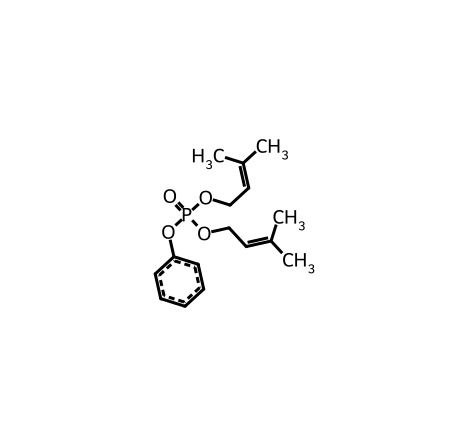 CC(C)=CCOP(=O)(OCC=C(C)C)Oc1ccccc1